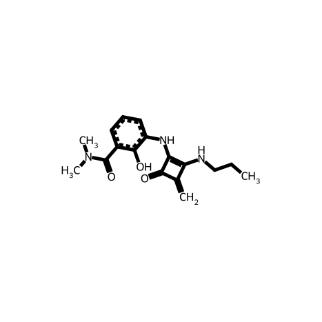 C=C1C(=O)C(Nc2cccc(C(=O)N(C)C)c2O)=C1NCCC